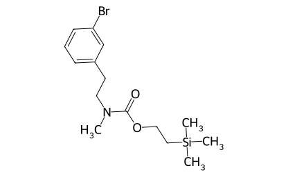 CN(CCc1cccc(Br)c1)C(=O)OCC[Si](C)(C)C